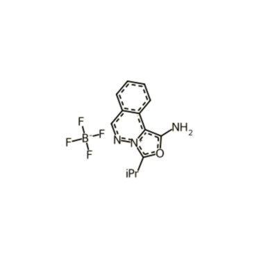 CC(C)c1oc(N)c2c3ccccc3cn[n+]12.F[B-](F)(F)F